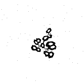 c1ccc(-n2ccc3cc(-c4cc(N(c5cccc6ccccc56)c5cccc6ccccc56)cc(N(c5cccc6ccccc56)c5cccc6ccccc56)c4)ccc32)cc1